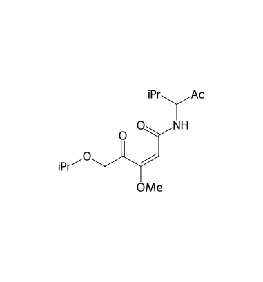 CO/C(=C/C(=O)NC(C(C)=O)C(C)C)C(=O)COC(C)C